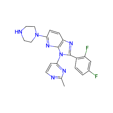 Cc1nccc(-n2c(-c3ccc(F)cc3F)nc3ccc(N4CCNCC4)nc32)n1